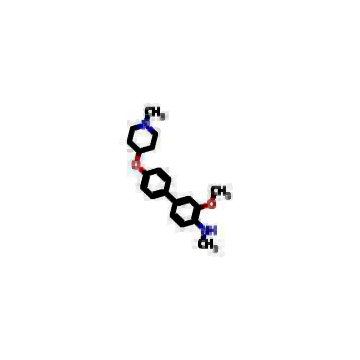 CNc1ccc(-c2ccc(OC3CCN(C)CC3)cc2)cc1OC